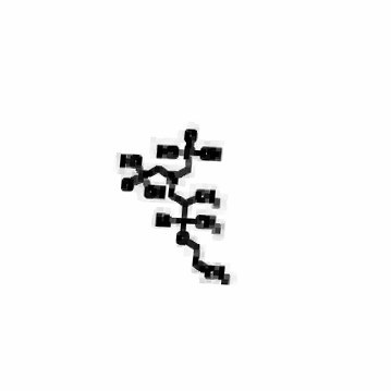 C=CCOC(C)(CC)C(C)CN(CP(=O)(O)O)CP(=O)(O)O